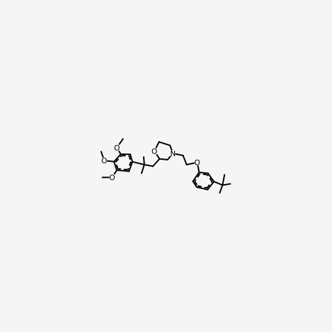 COc1cc(C(C)(C)CC2CN(CCOc3cccc(C(C)(C)C)c3)CCO2)cc(OC)c1OC